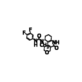 CN(C(=O)Nc1ccc(F)c(F)c1)[C@@H]1CCCc2[nH]c(=O)c3c(c21)CCOC3